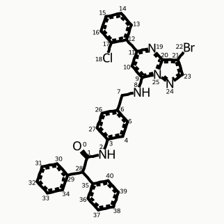 O=C(Nc1ccc(CNc2cc(-c3ccccc3Cl)nc3c(Br)cnn23)cc1)C(c1ccccc1)c1ccccc1